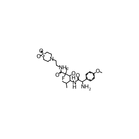 COc1ccc(C(N)C(=O)NC(C(C)C)C(O)C(F)(F)C(=O)NCCN2CCS(=O)(=O)CC2)cc1